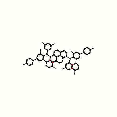 Cc1ccc(-c2cc(F)c(N(c3cc(C)cc(C)c3)c3ccc4ccc5c(N(c6cc(C)cc(C)c6)c6c(F)cc(-c7ccc(C)cc7)cc6-c6ccc(C)cc6)ccc6ccc3c4c65)c(-c3ccc(C)cc3)c2)cc1